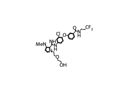 CNc1ccn(CCOCCO)c1C(=N)Nc1ccc(Oc2cccc(C(=O)NCCC(F)(F)F)c2)c(Cl)c1